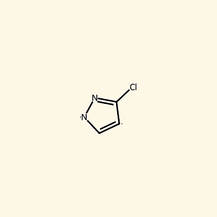 ClC1=N[N]C=[C]1